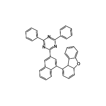 C1=CC2Oc3ccccc3C2C(c2cc(-c3nc(-c4ccccc4)nc(-c4ccccc4)n3)cc3ccccc23)=C1